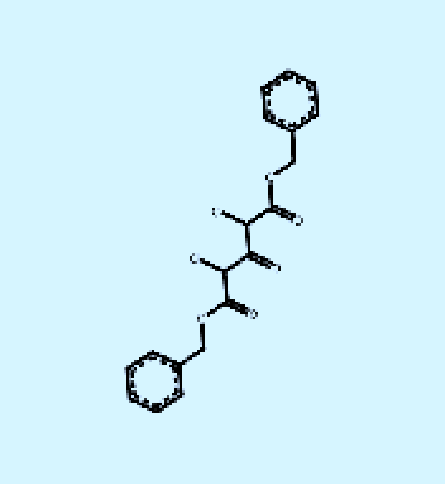 O=C(OCc1ccccc1)C(Cl)C(=O)C(Cl)C(=O)OCc1ccccc1